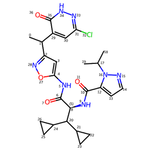 CC(c1cc(NC(=O)[C@@H](NC(=O)c2ccnn2C(C)C)C(C2CC2)C2CC2)on1)c1cc(Cl)n[nH]c1=O